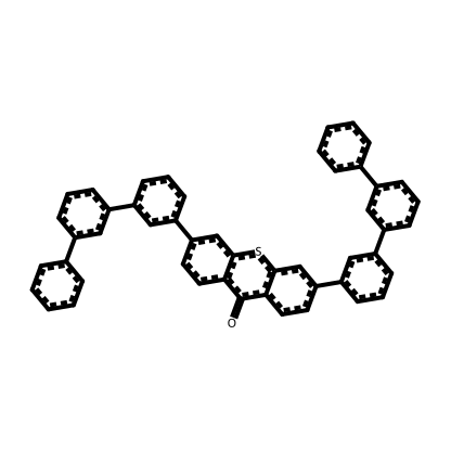 O=c1c2ccc(-c3cccc(-c4cccc(-c5ccccc5)c4)c3)cc2sc2cc(-c3cccc(-c4cccc(-c5ccccc5)c4)c3)ccc12